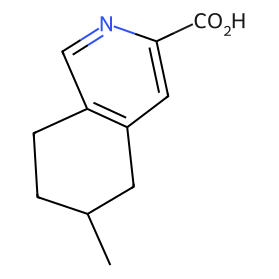 CC1CCc2cnc(C(=O)O)cc2C1